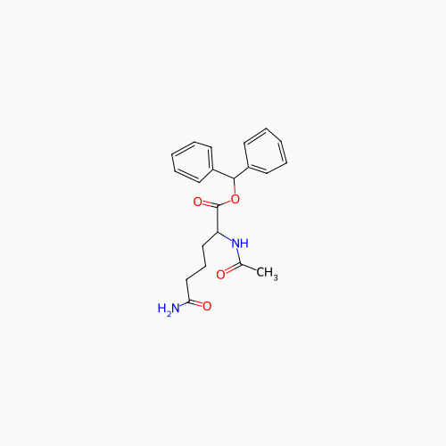 CC(=O)NC(CCCC(N)=O)C(=O)OC(c1ccccc1)c1ccccc1